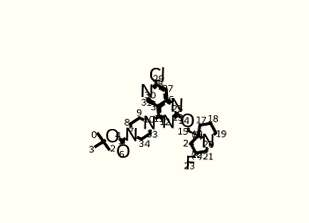 CC(C)(C)OC(=O)N1CCN(c2nc(OC[C@@]34CCCN3C[C@H](F)C4)nc3cc(Cl)ncc23)CC1